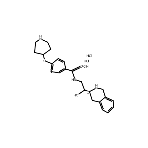 Cl.Cl.Cl.O=C(NCC(O)[C@@H]1Cc2ccccc2CN1)c1ccc(OC2CCNCC2)nc1